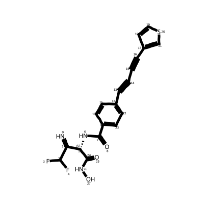 N=C(C(F)F)[C@H](NC(=O)c1ccc(C#CC#Cc2ccsc2)cc1)C(=O)NO